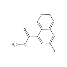 COC(=O)c1cc(I)cc2ccccc12